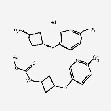 CC(C)(C)OC(=O)N[C@H]1C[C@@H](Oc2ccc(C(F)(F)F)nc2)C1.Cl.N[C@H]1C[C@@H](Oc2ccc(C(F)(F)F)nc2)C1